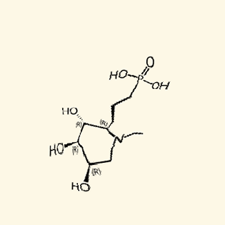 CN1C[C@@H](O)[C@@H](O)[C@H](O)[C@H]1CCP(=O)(O)O